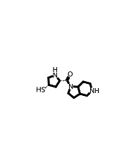 O=C([C@@H]1C[C@H](S)CN1)N1CCC2CNCCC21